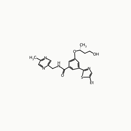 CCc1cnc(-c2cc(O[C@H](C)CCO)cc(C(=O)NCc3cnc(C)cn3)c2)s1